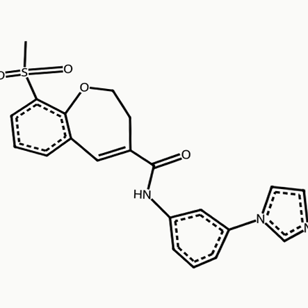 CS(=O)(=O)c1cccc2c1OCCC(C(=O)Nc1cccc(-n3ccnc3)c1)=C2